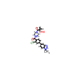 Cn1cnc2cc(-c3ccc(C(=O)N4CCN(C(=O)C5(O)CC5)CC4)c(Cl)c3)ccc21